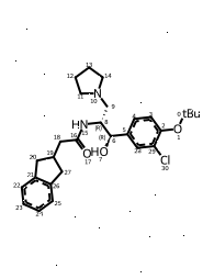 CC(C)(C)Oc1ccc([C@@H](O)[C@@H](CN2CCCC2)NC(=O)CC2Cc3ccccc3C2)cc1Cl